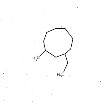 CCC1CCCCCCC(N)C1